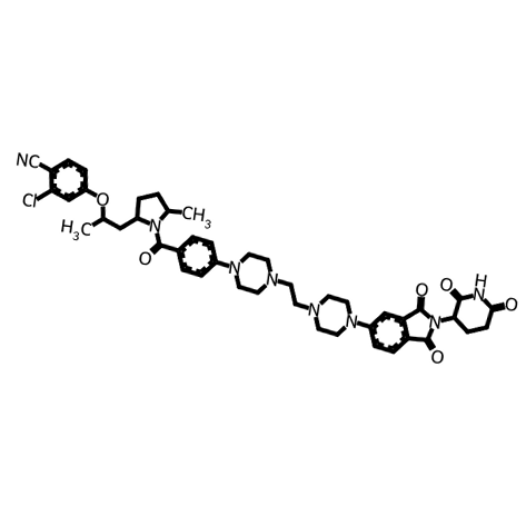 CC(CC1CCC(C)N1C(=O)c1ccc(N2CCN(CCN3CCN(c4ccc5c(c4)C(=O)N(C4CCC(=O)NC4=O)C5=O)CC3)CC2)cc1)Oc1ccc(C#N)c(Cl)c1